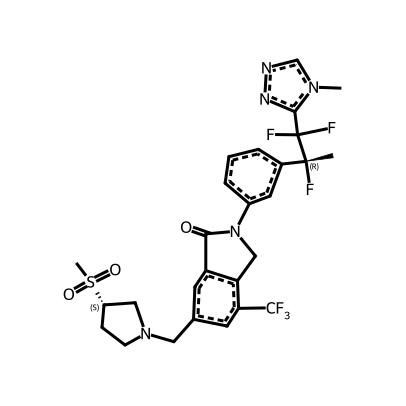 Cn1cnnc1C(F)(F)[C@](C)(F)c1cccc(N2Cc3c(cc(CN4CC[C@H](S(C)(=O)=O)C4)cc3C(F)(F)F)C2=O)c1